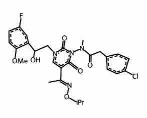 COc1ccc(F)cc1C(O)Cn1cc(/C(C)=N/OC(C)C)c(=O)n(N(C)C(=O)Cc2ccc(Cl)cc2)c1=O